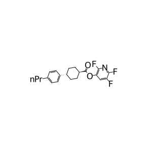 CCCc1ccc([C@H]2CC[C@H](C(=O)Oc3cc(F)c(F)nc3F)CC2)cc1